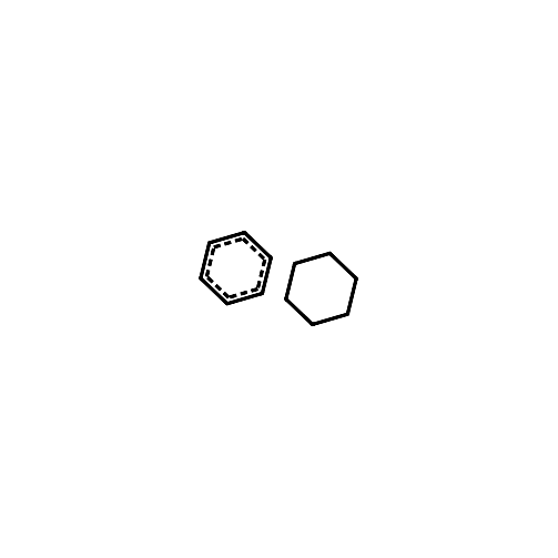 C1CCCCC1.c1ccccc1